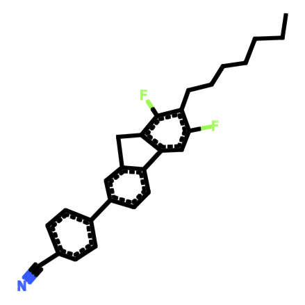 CCCCCCCc1c(F)cc2c(c1F)Cc1cc(-c3ccc(C#N)cc3)ccc1-2